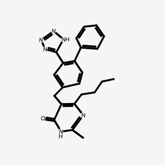 CCCCc1nc(C)[nH]c(=O)c1Cc1ccc(-c2ccccc2)c(-c2nnn[nH]2)c1